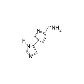 NCc1ccc(-c2cncn2F)cn1